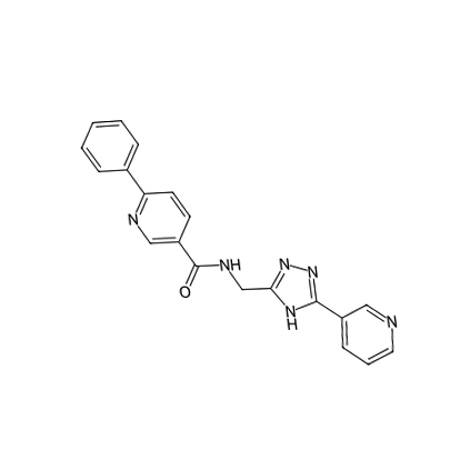 O=C(NCc1nnc(-c2cccnc2)[nH]1)c1ccc(-c2ccccc2)nc1